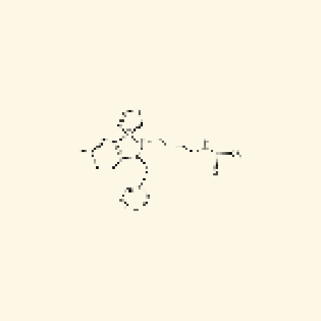 Cc1ccc2c(c1)[C@]1(C=CCC1)[C@H](CCCCNC(=O)C(F)(F)F)N2Cc1ccccc1